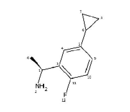 C[C@H](N)c1cc(C2CC2)ccc1F